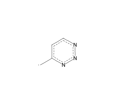 [CH2]c1ccnnn1